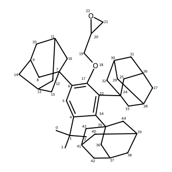 CC(C)(C)c1cc(C23CC4CC(CC(C4)C2)C3)c(OCC2CO2)c(C23CC4CC(CC(C4)C2)C3)c1C12CC3CC(CC(C3)C1)C2